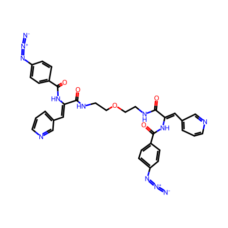 [N-]=[N+]=Nc1ccc(C(=O)N/C(=C\c2cccnc2)C(=O)NCCOCCNC(=O)/C(=C/c2cccnc2)NC(=O)c2ccc(N=[N+]=[N-])cc2)cc1